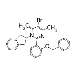 C=C1C(Br)=C(C)N=C(c2ccccc2OCc2ccccc2)N1C1Cc2ccccc2C1